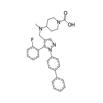 CN(Cc1cnn(-c2ccc(-c3ccccc3)cc2)c1-c1ccccc1F)C1CCN(C(=O)O)CC1